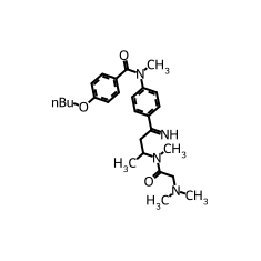 CCCCOc1ccc(C(=O)N(C)c2ccc(C(=N)CC(C)N(C)C(=O)CN(C)C)cc2)cc1